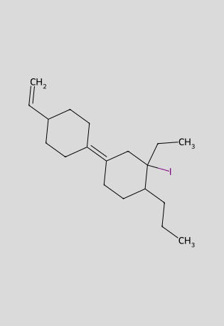 C=CC1CCC(=C2CCC(CCC)C(I)(CC)C2)CC1